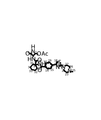 CC(=O)OC1NC(=O)C1NC(=O)C1(NC(=O)c2ccc(-c3csc(N4CCN(C)CC4)n3)cc2)CCCCC1